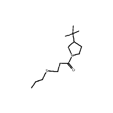 CCCSCCC(=O)N1CCC(C(C)(C)C)C1